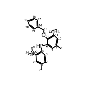 Cc1ccc(Pc2cc(C)cc(C(C)(C)C)c2OCc2ccccc2)c(N(C)C)c1